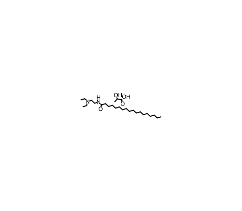 CC(O)C(=O)O.CCCCCCCCCCCCCCCCCC(=O)NCCN(CC)CC